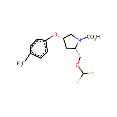 O=C(O)N1C[C@@H](Oc2ccc(C(F)(F)F)cc2)C[C@H]1COC(F)F